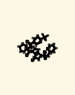 CC(C)(C)c1ccc(C(=O)NC2(C(=O)N3CCC4C3C(=O)CN4S(=O)(=O)Cc3ccccn3)CCCCC2)cc1